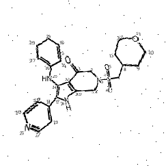 O=C1CN(S(=O)(=O)CC2CCOCC2)Cc2[nH]c(-c3ccncc3)c(NC3=CCCC=C3)c21